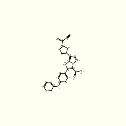 C#CC(=O)N1CCC(c2cnn3c(C(N)=O)c(-c4ccc(Oc5ccccc5)cc4)[nH]c23)C1